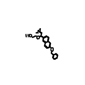 CN(C)CC(OCCO)c1ccc2cc(OCc3ccccc3)ccc2c1